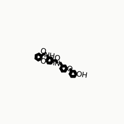 O=C(NCc1cccc(Oc2cccc(O)c2)c1)c1ccc2c(c1)NC(=O)c1ccccc1O2